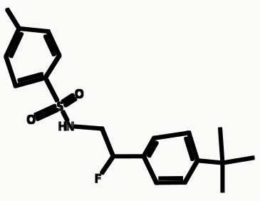 Cc1ccc(S(=O)(=O)NCC(F)c2ccc(C(C)(C)C)cc2)cc1